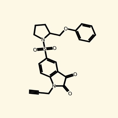 C#CCN1C(=O)C(=O)c2cc(S(=O)(=O)N3CCCC3COc3ccccc3)ccc21